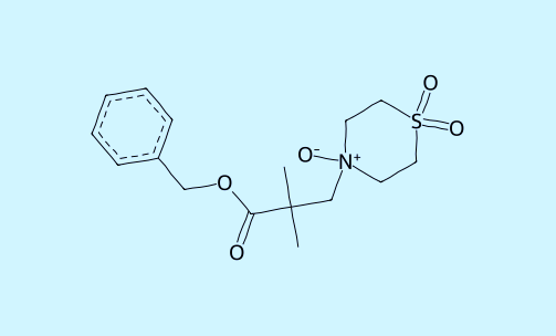 CC(C)(C[N+]1([O-])CCS(=O)(=O)CC1)C(=O)OCc1ccccc1